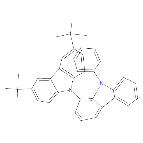 CC(C)(C)c1ccc2c(c1)c1cc(C(C)(C)C)ccc1n2-c1cccc2c3ccccc3n(-c3ccccc3)c12